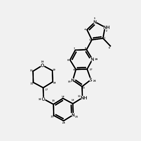 Cc1[nH]ncc1-c1ccc2nc(Nc3cc(OC4CCOCC4)ccn3)sc2n1